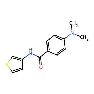 CN(C)c1ccc(C(=O)Nc2ccsc2)cc1